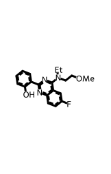 CCN(CCOC)c1nc(-c2ccccc2O)nc2ccc(F)cc12